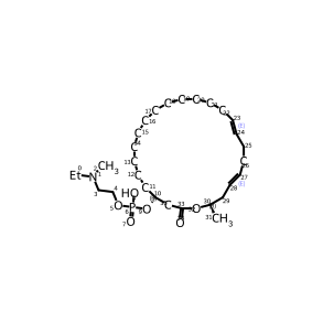 CCN(C)CCOP(=O)(O)O[C@@H]1CCCCCCCCCCCC/C=C/CC/C=C/C[C@@H](C)OC(=O)C1